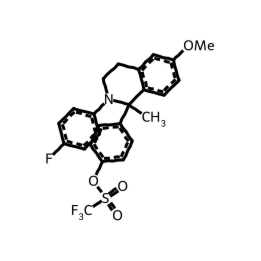 COc1ccc2c(c1)CCN(c1ccc(F)cc1)C2(C)c1ccc(OS(=O)(=O)C(F)(F)F)cc1